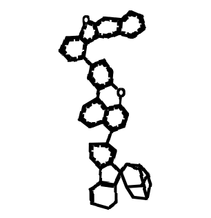 C1=CC2=C(CC1)C1(c3cc(-c4ccc5c6c(cccc46)-c4cc(-c6cccc7oc8cc9ccccc9cc8c67)ccc4O5)ccc32)C2CC3CC(C2)CC1C3